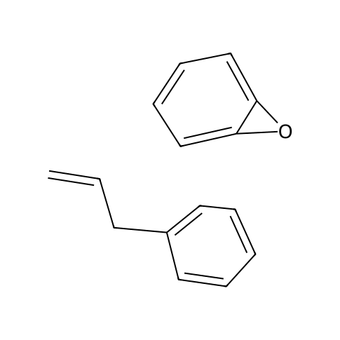 C=CCc1ccccc1.c1ccc2c(c1)O2